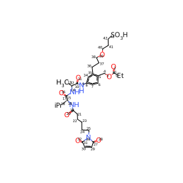 CCC(=O)OCc1ccc(NC(=O)[C@H](C)NC(=O)[C@@H](NC(=O)CCCCCN2C(=O)C=CC2=O)C(C)C)cc1CCCOCCCS(=O)(=O)O